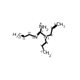 [CH2]CCN(CC=C)C(N)=NCC=C